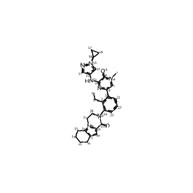 CCc1c(-c2cn(C)c(=O)c(Nc3cnn(C4CC4)c3)n2)cccc1N1CCn2c(cc3c2CCCC3)C1=O